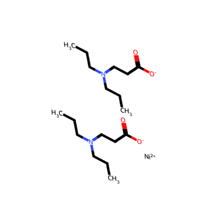 CCCN(CCC)CCC(=O)[O-].CCCN(CCC)CCC(=O)[O-].[Ni+2]